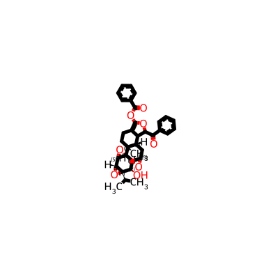 CC(C)[C@]12O[C@H]1[C@@H]1O[C@]13[C@]1(O[C@H]1C[C@H]1C4C(=C(OC(=O)c5ccccc5)OC4C(=O)c4ccccc4)CC[C@@]13C)[C@@H]2O